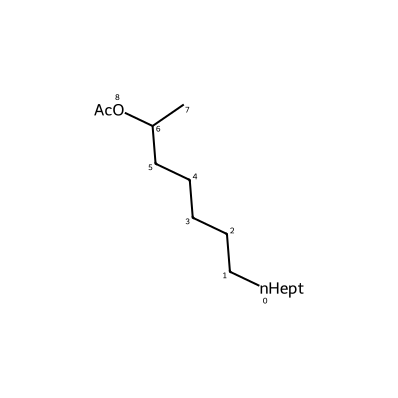 CCCCCCCCCCCCC(C)OC(C)=O